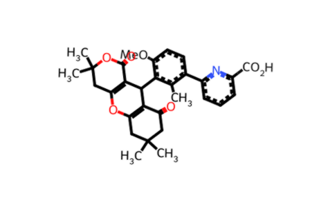 COc1ccc(-c2cccc(C(=O)O)n2)c(C)c1C1C2=C(CC(C)(C)CC2=O)OC2=C1C(=O)OC(C)(C)C2